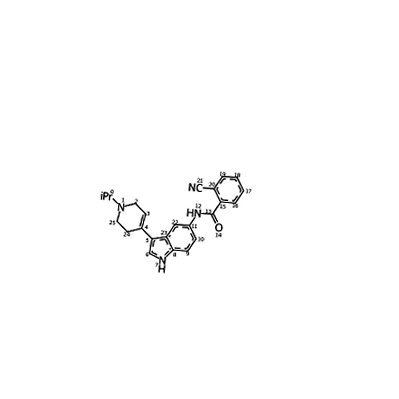 CC(C)N1CC=C(c2c[nH]c3ccc(NC(=O)c4ccccc4C#N)cc23)CC1